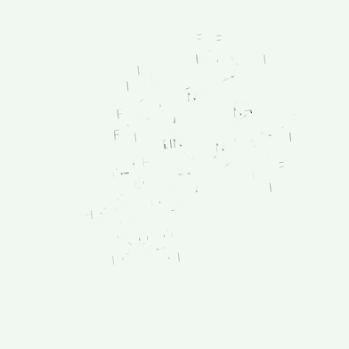 CC(=O)OCC1O[C@@H](Oc2ccc(-c3c4nc(c(-c5cc(C(F)(F)F)cc(C(F)(F)F)c5)c5ccc([nH]5)c(-c5cc(C(F)(F)F)cc(C(F)(F)F)c5)c5nc(c(-c6cc(C(F)(F)F)cc(C(F)(F)F)c6)c6ccc3[nH]6)C=C5)C=C4)cc2)C(OC(C)=O)C(OC(C)=O)[C@@H]1OC(C)=O